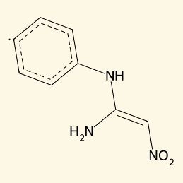 N/C(=C\[N+](=O)[O-])Nc1cc[c]cc1